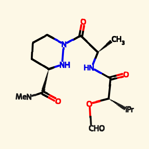 CNC(=O)[C@@H]1CCCN(C(=O)[C@H](C)NC(=O)[C@@H](OC=O)C(C)C)N1